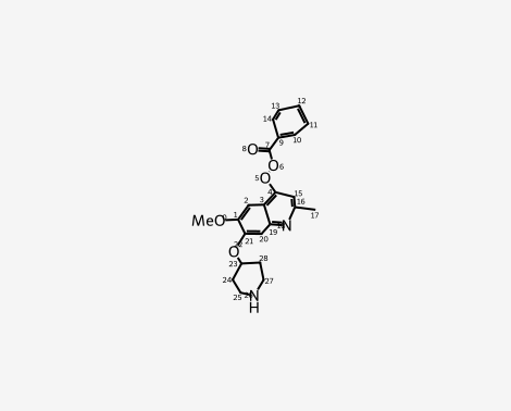 COc1cc2c(OOC(=O)c3ccccc3)cc(C)nc2cc1OC1CCNCC1